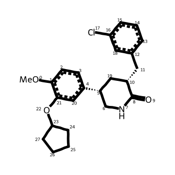 COc1ccc([C@H]2CNC(=O)[C@@H](Cc3cccc(Cl)c3)C2)cc1OC1CCCC1